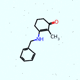 CC1=C(NCc2ccccc2)CCCC1=O